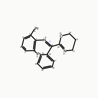 CC(C)c1cccc(C(C)C)c1/N=C(/C1=NCCCO1)c1ccccc1